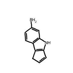 Bc1ccc2c3c([nH]c2c1)C=CC3